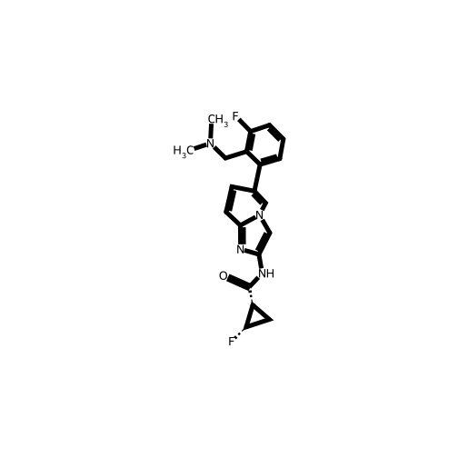 CN(C)Cc1c(F)cccc1-c1ccc2nc(NC(=O)[C@@H]3C[C@@H]3F)cn2c1